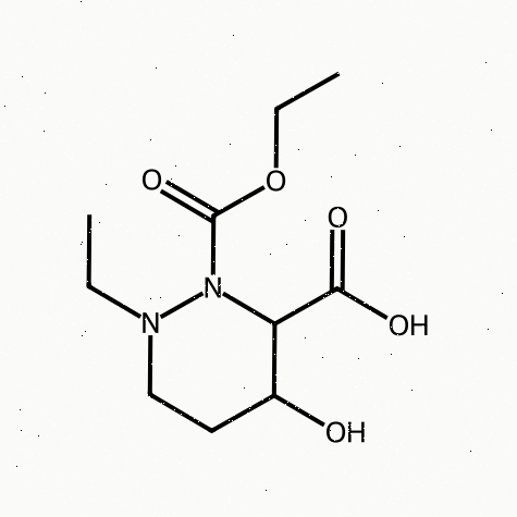 CCOC(=O)N1C(C(=O)O)C(O)CCN1CC